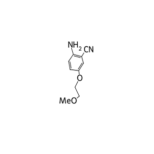 COCCOc1ccc(N)c(C#N)c1